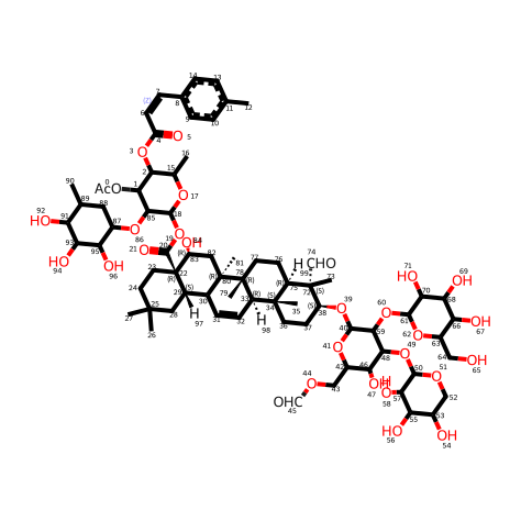 CC(=O)OC1C(OC(=O)/C=C\c2ccc(C)cc2)C(C)OC(OC(=O)[C@]23CCC(C)(C)C[C@H]2C2C=C[C@@H]4[C@@]5(C)CC[C@H](OC6OC(COC=O)C(O)C(OC7OCC(O)C(O)C7O)C6OC6OC(CO)C(O)C(O)C6O)[C@@](C)(C=O)[C@@H]5CC[C@@]4(C)[C@]2(C)C[C@H]3O)C1OC1CC(C)C(O)C(O)C1O